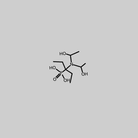 CCC(CC)(N(C(C)O)C(C)O)P(=O)(O)O